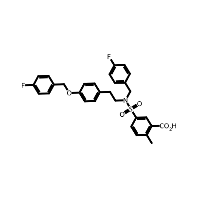 Cc1ccc(S(=O)(=O)N(CCc2ccc(OCc3ccc(F)cc3)cc2)Cc2ccc(F)cc2)cc1C(=O)O